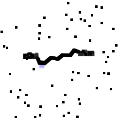 CCCCC[CH]CCCCCCCC/C=C\CCCCCCCC